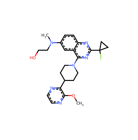 COc1nccnc1C1CCN(c2nc(C3(F)CC3)nc3ccc(N(C)CCO)cc23)CC1